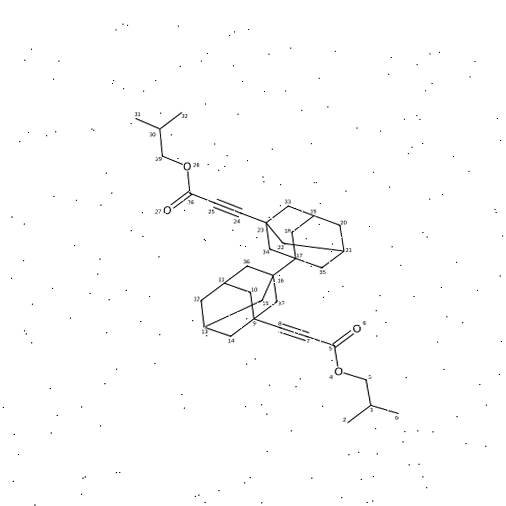 CC(C)COC(=O)C#CC12CC3CC(C1)CC(C14CC5CC(CC(C#CC(=O)OCC(C)C)(C5)C1)C4)(C3)C2